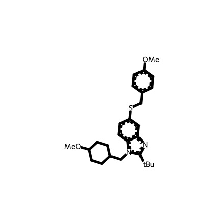 COc1ccc(CSc2ccc3c(c2)nc(C(C)(C)C)n3CC2CCC(OC)CC2)cc1